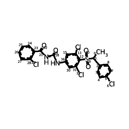 CC(c1ccc(Cl)cc1)S(=O)(=O)c1c(Cl)cc(NC(=O)NC(=O)c2ccccc2Cl)cc1Cl